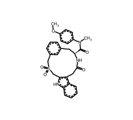 COc1ccc(N(C)C(=O)[C@@H]2Cc3cccc(c3)CS(=O)(=O)Cc3[nH]c4ccccc4c3CC(=O)N2)cc1